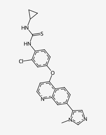 Cn1cncc1-c1ccc2c(Oc3ccc(NC(=S)NC4CC4)c(Cl)c3)ccnc2c1